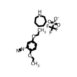 C1CCCNCC1.CCOc1ccc(OCC)c([N+]#N)c1.O=S(=O)([O-])C(F)(F)F